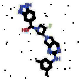 Cc1cc(C)cc(Nc2ncc3c(n2)CN([C@@H]2CN(C(O)c4ccc5[nH]nnc5c4)C[C@@H]2F)C3)c1